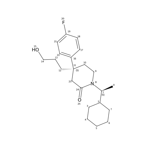 C[C@@H](C1CCCCC1)N1CC[C@](CCCO)(c2ccc(F)cc2)CC1=O